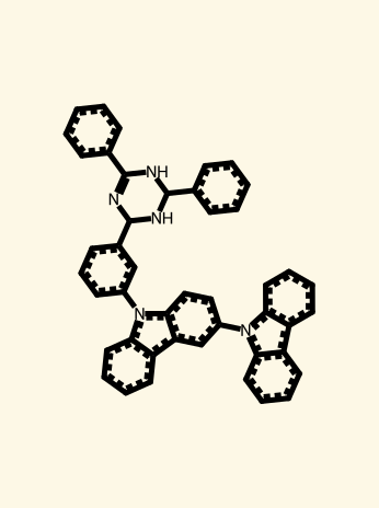 c1ccc(C2=NC(c3cccc(-n4c5ccccc5c5cc(-n6c7ccccc7c7ccccc76)ccc54)c3)NC(c3ccccc3)N2)cc1